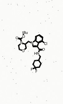 CC(C)(C)OC(=O)N1CCOCC1Cn1cc(C(=O)NCC2CCC(F)(F)CC2)c2c(Cl)cccc21